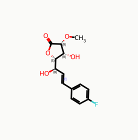 CO[C@H]1C(=O)O[C@@H]([C@H](O)/C=C/c2ccc(F)cc2)[C@H]1O